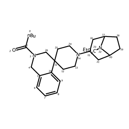 CCCCC(=O)N1Cc2ccccc2C2(CCN(C3CC4CCC(C3)N4C(=O)OCC)CC2)C1